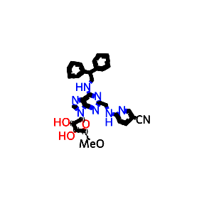 COC[C@H]1O[C@@H](n2cnc3c(NCC(c4ccccc4)c4ccccc4)nc(CNc4ccc(C#N)cn4)nc32)[C@@H](O)[C@@H]1O